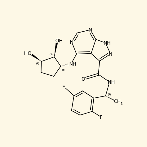 C[C@@H](NC(=O)c1n[nH]c2ncnc(N[C@@H]3CC[C@@H](O)[C@H]3O)c12)c1cc(F)ccc1F